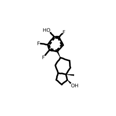 C[C@]12CC[C@H](c3cc(F)c(O)c(F)c3F)CC1CC[C@@H]2O